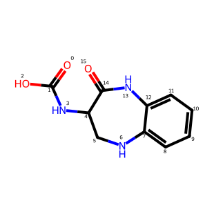 O=C(O)NC1CNc2ccccc2NC1=O